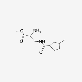 COC(=O)C(N)CNC(=O)C1CCC(C)C1